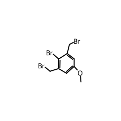 COc1cc(CBr)c(Br)c(CBr)c1